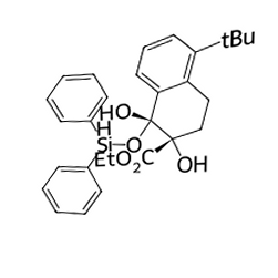 CCOC(=O)[C@]1(O)CCc2c(C(C)(C)C)cccc2[C@@]1(O)O[SiH](c1ccccc1)c1ccccc1